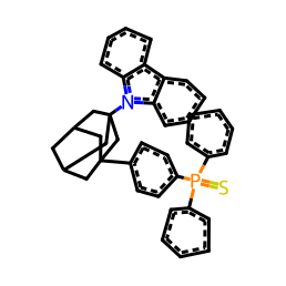 S=P(c1ccccc1)(c1ccccc1)c1ccc(C23CC4CC(C2)CC(n2c5ccccc5c5ccccc52)(C4)C3)cc1